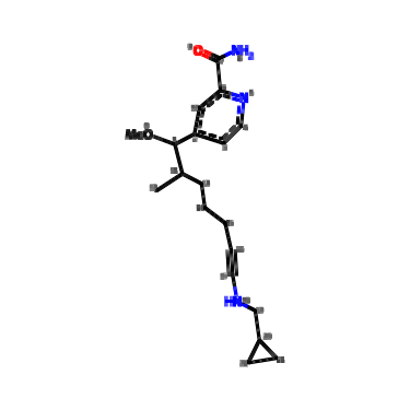 COC(c1ccnc(C(N)=O)c1)C(C)CCCC#CNCC1CC1